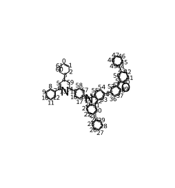 C1=CCC(C2C=C(c3ccccc3)N=C(c3ccc(-n4c5ccc(-c6ccccc6)cc5c5cc(-c6ccc7oc8ccc(-c9ccccc9)cc8c7c6)ccc54)cc3)C2)C=C1